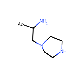 CC(=O)[C](N)CN1CCNCC1